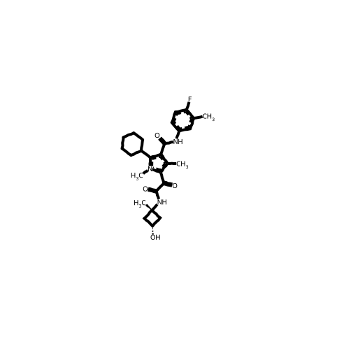 Cc1cc(NC(=O)c2c(C)c(C(=O)C(=O)N[C@]3(C)C[C@H](O)C3)n(C)c2C2CCCCC2)ccc1F